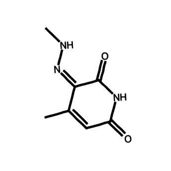 CN/N=C1\C(=O)NC(=O)C=C1C